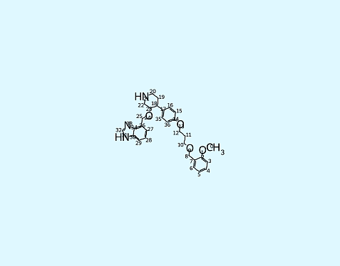 COc1ccccc1COCCCOc1ccc(C2CCNCC2OCc2cccc3[nH]cnc23)cc1